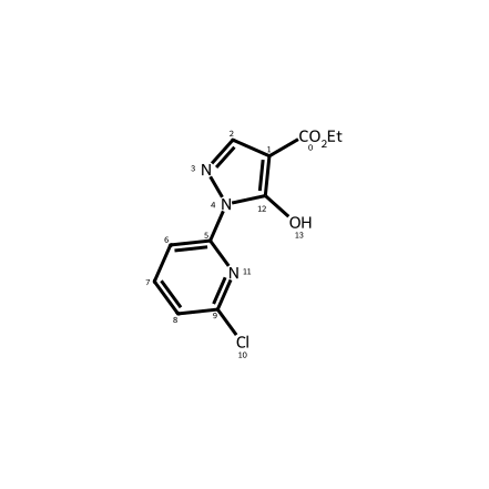 CCOC(=O)c1cnn(-c2cccc(Cl)n2)c1O